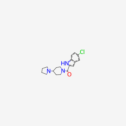 O=C(c1cc2cc(Cl)ccc2[nH]1)N1CCC(N2CCCC2)CC1